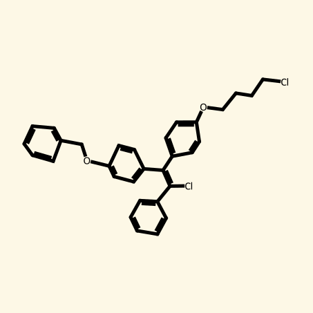 ClCCCCOc1ccc(C(=C(Cl)c2ccccc2)c2ccc(OCc3ccccc3)cc2)cc1